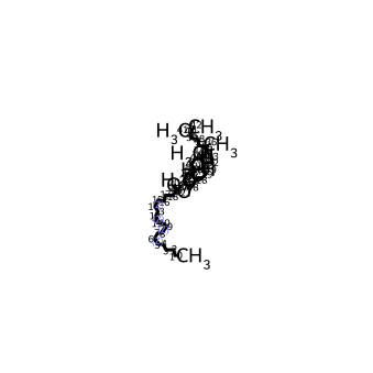 CCCCC/C=C\C/C=C\C/C=C\C/C=C\CCCC(=O)O[C@H]1CC[C@@]2(C)C(=CC[C@H]3[C@@H]4CC[C@H]([C@H](C)CCCC(C)C)[C@@]4(C)CC[C@@H]32)C1